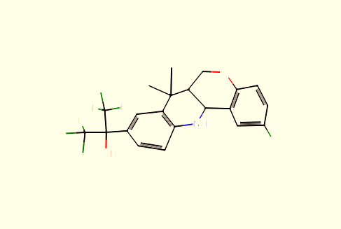 CC1(C)c2cc(C(O)(C(F)(F)F)C(F)(F)F)ccc2NC2c3cc(Br)ccc3OCC21